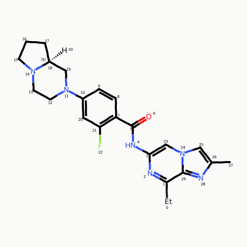 CCc1nc(NC(=O)c2ccc(N3CCN4CCC[C@H]4C3)cc2F)cn2cc(C)nc12